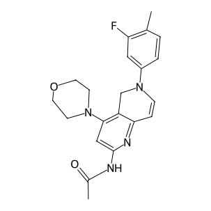 CC(=O)Nc1cc(N2CCOCC2)c2c(n1)C=CN(c1ccc(C)c(F)c1)C2